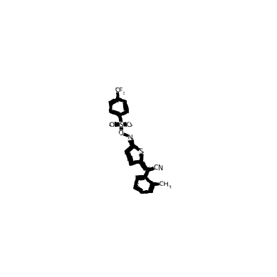 Cc1ccccc1/C(C#N)=C1C=C/C(=N\OS(=O)(=O)c2ccc(C(F)(F)F)cc2)S\1